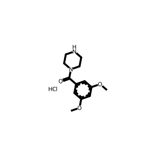 COc1cc(OC)cc(C(=O)N2CCNCC2)c1.Cl